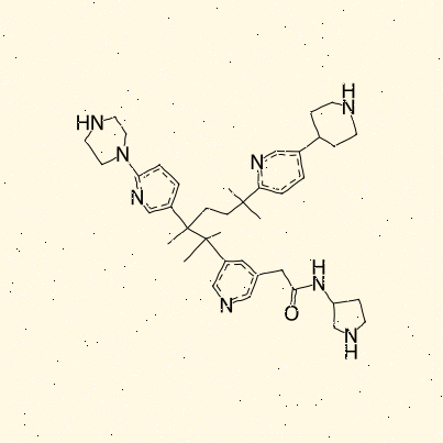 CC(C)(CCC(C)(c1ccc(N2CCNCC2)nc1)C(C)(C)c1cncc(CC(=O)NC2CCNC2)c1)c1ccc(C2CCNCC2)cn1